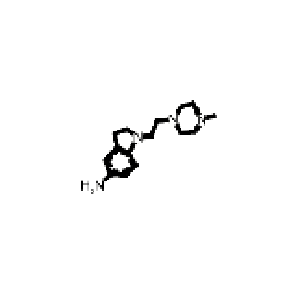 CN1CCN(CCN2CCc3cc(N)ccc32)CC1